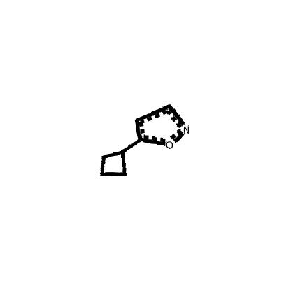 [c]1cc(C2CCC2)on1